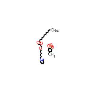 CCCCCCCCCCCCCCCCCCCC1OCC(COCCCCCC[n+]2ccccc2)O1.Cc1ccc(S(=O)(=O)[O-])cc1